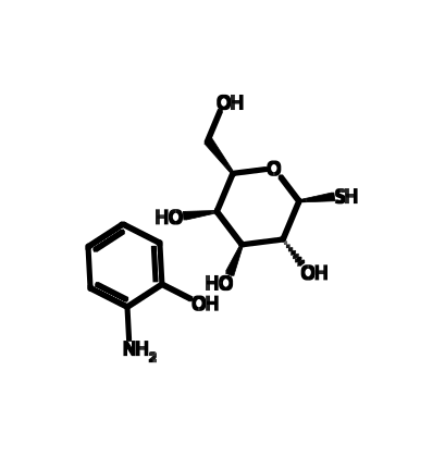 Nc1ccccc1O.OC[C@H]1O[C@@H](S)[C@H](O)[C@@H](O)[C@H]1O